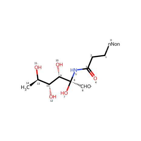 CCCCCCCCCCCC(=O)N[C@](O)([C]=O)[C@@H](O)[C@H](O)[C@@H](C)O